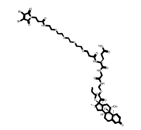 CCC(=O)O[C@]1(C(=O)COCNC(=O)CNC(=O)[C@H](CCC(=O)O)NC(=O)CCOCCOCCOCCOCCNC(=O)CCN2C(=O)C(Br)=C(Br)C2=O)[C@@H](C)CC2[C@@H]3CCC4=CC(=O)C=C[C@]4(C)[C@@]3(Cl)[C@@H](O)C[C@@]21C